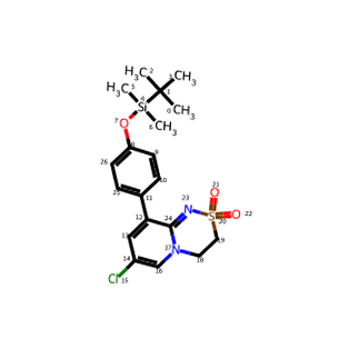 CC(C)(C)[Si](C)(C)Oc1ccc(C2=CC(Cl)=CN3CCS(=O)(=O)N=C23)cc1